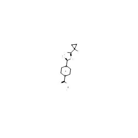 COC(=O)C12CCC(c3noc(C4(F)CC4)n3)(CC1)CC2